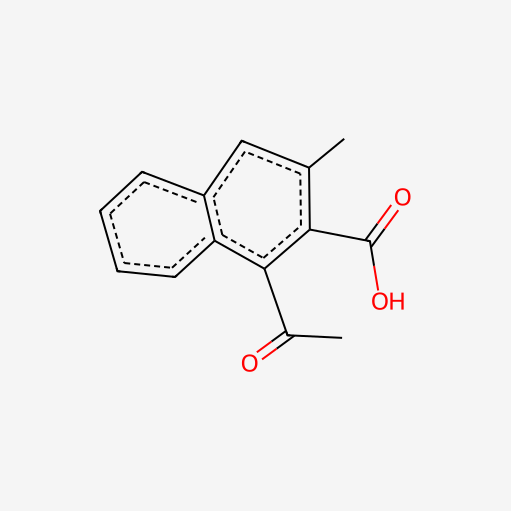 CC(=O)c1c(C(=O)O)c(C)cc2ccccc12